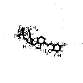 C=C1/C(=C\C=C2/CCC[C@@]3(C)C2CC[C@@H]3[C@@](C)(C/C=C/C(O)(C(F)(F)F)C(F)(F)F)CCCC(C)(C)O)CC(O)C[C@@H]1O